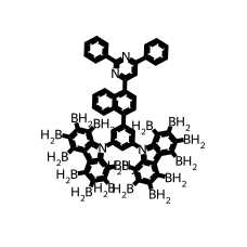 Bc1c(B)c(B)c2c(c1B)c1c(B)c(B)c(B)c(B)c1n2-c1cc(-c2ccc(-c3cc(-c4ccccc4)nc(-c4ccccc4)n3)c3ccccc23)cc(-n2c3c(B)c(B)c(B)c(B)c3c3c(B)c(B)c(B)c(B)c32)c1